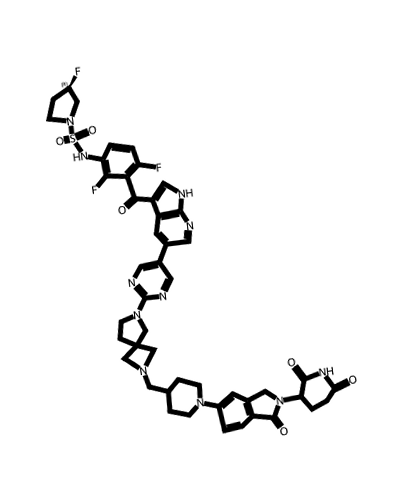 O=C1CCC(N2Cc3cc(N4CCC(CN5CC6(CCN(c7ncc(-c8cnc9[nH]cc(C(=O)c%10c(F)ccc(NS(=O)(=O)N%11CC[C@@H](F)C%11)c%10F)c9c8)cn7)C6)C5)CC4)ccc3C2=O)C(=O)N1